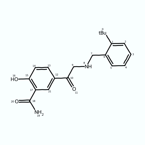 CC(C)(C)c1ccccc1CNCC(=O)c1ccc(O)c(C(N)=O)c1